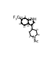 CC(=O)N1CCC(c2c[nH]c3cc(C(F)(F)F)ccc23)CC1